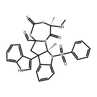 CN[C@]1(C)SC(=S)SC2(C=O)CC3(c4c[nH]c5ccccc45)c4ccccc4N(S(=O)(=O)c4ccccc4)[C@@H]3N2C1=O